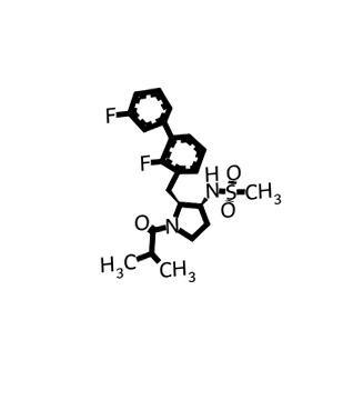 CC(C)C(=O)N1CC[C@H](NS(C)(=O)=O)[C@@H]1Cc1cccc(-c2cccc(F)c2)c1F